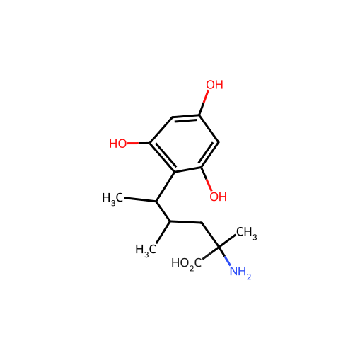 CC(CC(C)(N)C(=O)O)C(C)c1c(O)cc(O)cc1O